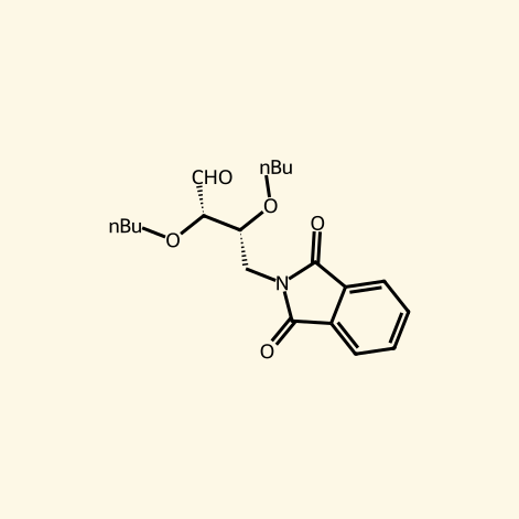 CCCCO[C@H](C=O)[C@@H](CN1C(=O)c2ccccc2C1=O)OCCCC